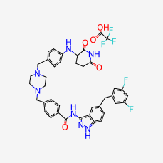 O=C(O)C(F)(F)F.O=C1CCC(Nc2ccc(CN3CCN(Cc4ccc(C(=O)Nc5n[nH]c6ccc(Cc7cc(F)cc(F)c7)cc56)cc4)CC3)cc2)C(=O)N1